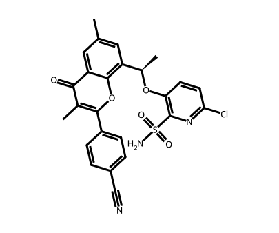 Cc1cc([C@@H](C)Oc2ccc(Cl)nc2S(N)(=O)=O)c2oc(-c3ccc(C#N)cc3)c(C)c(=O)c2c1